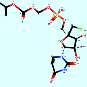 CC(C)OC(=O)OCOP(=O)(O)OC[C@@]1(CF)O[C@@H](n2ccc(=O)[nH]c2=O)[C@](C)(O)[C@@H]1O